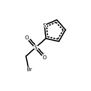 O=S(=O)(CBr)c1cccs1